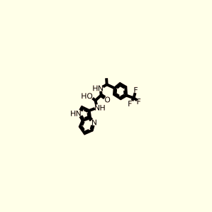 CC(NC(=O)C(O)Nc1c[nH]c2cccnc12)c1ccc(C(F)(F)F)cc1